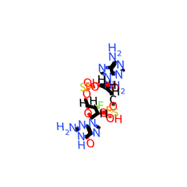 Nc1nc2c(ncn2[C@@H]2O[C@@H]3COP(O)(=S)O[C@@H]4[C@H](N)[C@@H](COP(O)(=S)O[C@@H]2[C@@H]3F)O[C@H]4n2cnc3c(N)ncnc32)c(=O)[nH]1